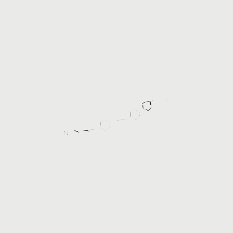 CCCCCCc1ccc([C@H]2CC[C@H](CCCC[C@H]3CC[C@H](CCC=CC=C(F)C#N)CC3)CC2)cc1